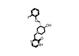 O=c1[nH]ccnc1CN1CC[C@H](O)[C@@H](COc2ccccc2F)C1